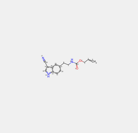 C=CCOC(=O)NCCc1ccc2[nH]cc(C#N)c2c1